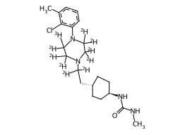 [2H]C([2H])(C[C@H]1CC[C@H](NC(=O)NC)CC1)N1C([2H])([2H])C([2H])([2H])N(c2cccc(C)c2Cl)C([2H])([2H])C1([2H])[2H]